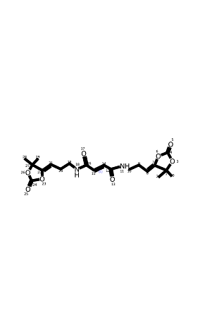 CC1(C)OC(=O)OC1=CCCNC(=O)/C=C/C(=O)NCCC=C1OC(=O)OC1(C)C